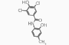 Cc1ccc(NC(=O)c2cc(Cl)c(O)c(Cl)c2)c(O)c1